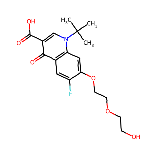 CC(C)(C)n1cc(C(=O)O)c(=O)c2cc(F)c(OCCOCCO)cc21